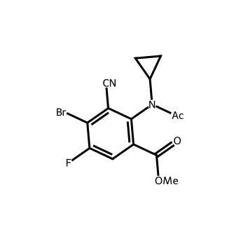 COC(=O)c1cc(F)c(Br)c(C#N)c1N(C(C)=O)C1CC1